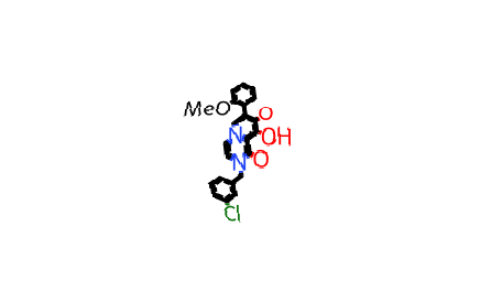 COc1ccccc1-c1cn2ccn(Cc3cccc(Cl)c3)c(=O)c2c(O)c1=O